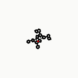 c1ccc(-c2ccc3c(c2)c2cc(-c4ccccc4)ccc2n3-c2ccccc2-c2ccccc2-n2c3ccc(-c4cccc5ccccc45)cc3c3cc(-c4cccc5ccccc45)ccc32)cc1